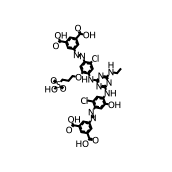 CCNc1nc(Nc2cc(Cl)c(N=Nc3cc(C(=O)O)cc(C(=O)O)c3)cc2O)nc(Nc2cc(Cl)c(N=Nc3cc(C(=O)O)cc(C(=O)O)c3)cc2OCCCS(=O)(=O)O)n1